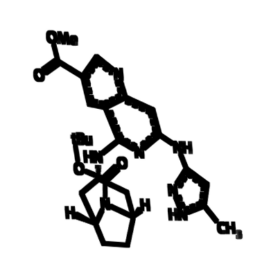 COC(=O)c1cnc2cc(Nc3cc(C)[nH]n3)nc(N[C@H]3C[C@H]4CC[C@@H](C3)N4C(=O)OC(C)(C)C)c2c1